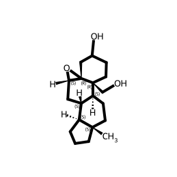 C[C@@]12CCC[C@H]1[C@@H]1C[C@@H]3O[C@@]34CC(O)CC[C@]4(CO)[C@H]1CC2